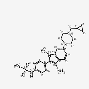 CCCS(=O)(=O)Nc1ccc(-c2c(N)c3ccc(N4CCN(CC5CC5)CC4)cc3n2CC)cc1